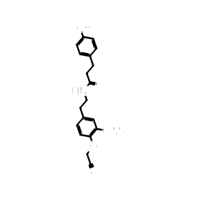 C#CCOc1ccc(CCNC(=O)CCc2ccc(C)cc2)cc1OC